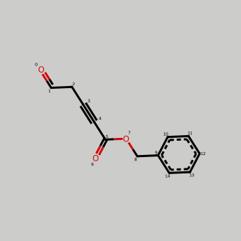 O=CCC#CC(=O)OCc1ccccc1